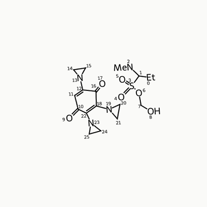 CCC(NC)S(=O)(=O)OCO.O=C1C=C(N2CC2)C(=O)C(N2CC2)=C1N1CC1